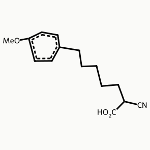 COc1ccc(CCCCCC(C#N)C(=O)O)cc1